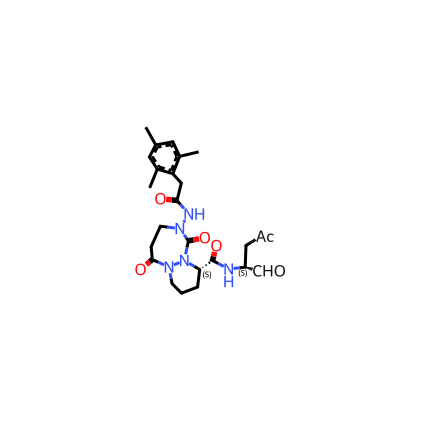 CC(=O)C[C@@H](C=O)NC(=O)[C@@H]1CCCN2C(=O)CCN(NC(=O)Cc3c(C)cc(C)cc3C)C(=O)N12